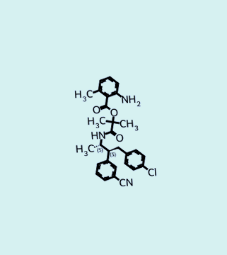 Cc1cccc(N)c1C(=O)OC(C)(C)C(=O)N[C@@H](C)[C@@H](Cc1ccc(Cl)cc1)c1cccc(C#N)c1